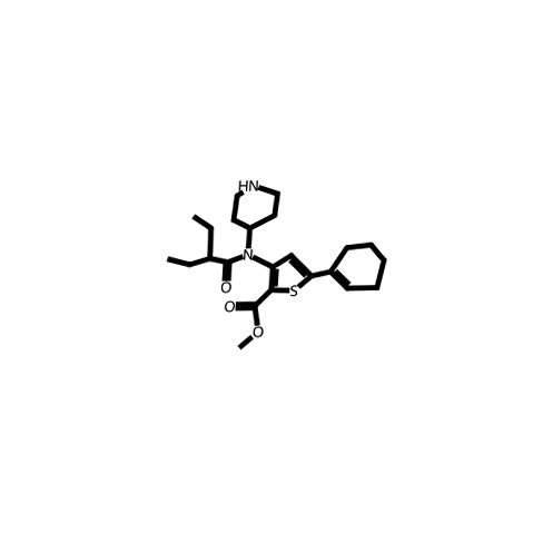 CCC(CC)C(=O)N(c1cc(C2=CCCCC2)sc1C(=O)OC)C1CCNCC1